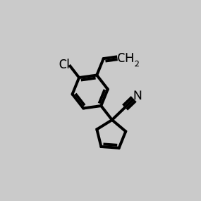 C=Cc1cc(C2(C#N)CC=CC2)ccc1Cl